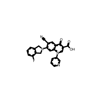 N#Cc1cc2c(=O)c(C(=O)O)cn(-c3cccnc3)c2cc1N1Cc2cccc(F)c2C1